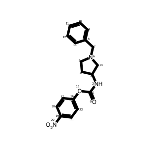 O=C(NC1CCN(Cc2ccccc2)C1)Oc1ccc([N+](=O)[O-])cc1